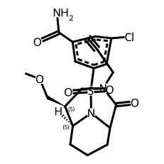 C#CCN1C[C@H](COC)[C@@H]2CCCC(C1=O)N2S(=O)(=O)c1cc(Cl)cc(C(N)=O)c1